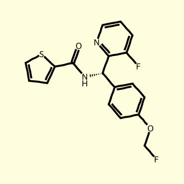 O=C(N[C@@H](c1ccc(OCF)cc1)c1ncccc1F)c1cccs1